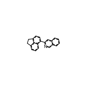 c1ccc2cc(-c3ccc4c5c(cccc35)CC4)ncc2c1